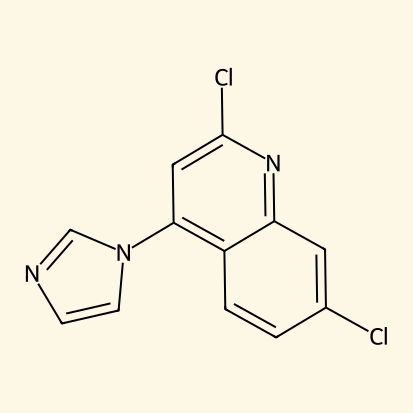 Clc1ccc2c(-n3ccnc3)cc(Cl)nc2c1